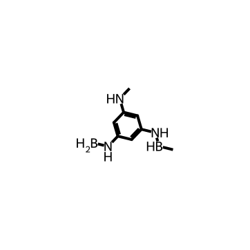 BNc1cc(NC)cc(NBC)c1